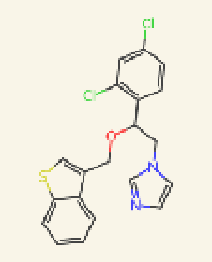 Clc1ccc(C(Cn2ccnc2)OCc2csc3ccccc23)c(Cl)c1